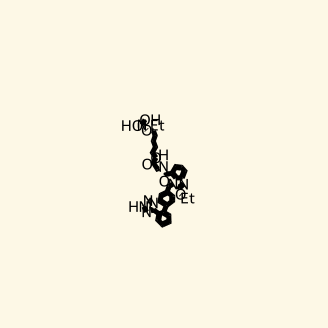 CCOc1nc2cccc(C(=O)NCC(=O)OCCCCC(CC)ON(O)O)c2n1Cc1ccc(-c2ccccc2-c2nn[nH]n2)cc1